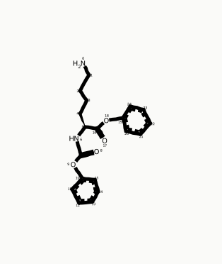 NCCCC[C@H](NC(=O)Oc1ccccc1)C(=O)Oc1ccccc1